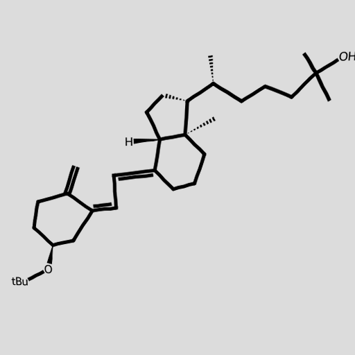 C=C1CC[C@H](OC(C)(C)C)C/C1=C/C=C1\CCC[C@]2(C)[C@@H]([C@H](C)CCCC(C)(C)O)CC[C@@H]12